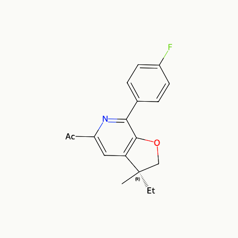 CC[C@@]1(C)COc2c1cc(C(C)=O)nc2-c1ccc(F)cc1